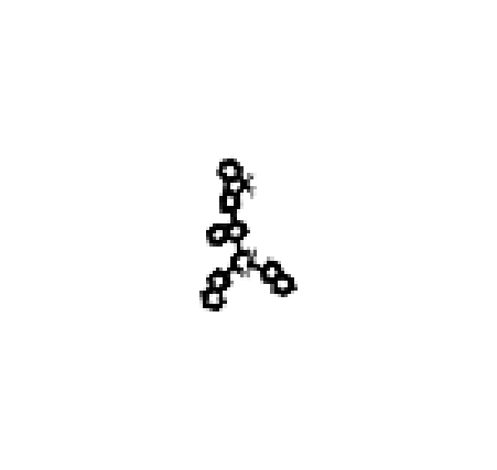 FC1(F)c2ccccc2-c2ccc(-c3ccc(-c4cc(-c5ccc6ccccc6c5)nc(-c5ccc6ccccc6c5)n4)c4ccccc34)cc21